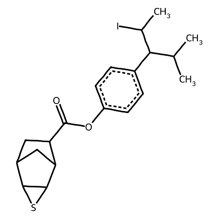 CC(C)C(c1ccc(OC(=O)C2CC3CC2C2SC32)cc1)C(C)I